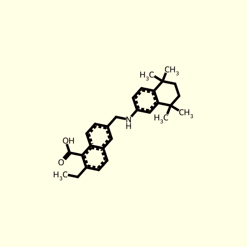 CCc1ccc2cc(CNc3ccc4c(c3)C(C)(C)CCC4(C)C)ccc2c1C(=O)O